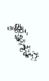 CC(O[Si](C)(C)C(C)(C)C)c1nnc([C@H]2C[C@H](NC(=O)c3cc(-c4ccccc4)no3)C2)o1